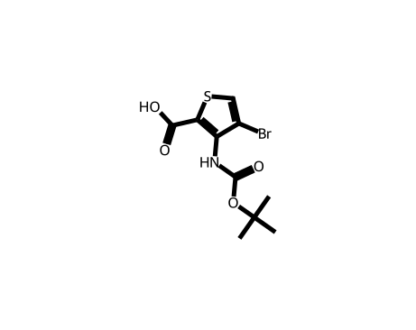 CC(C)(C)OC(=O)Nc1c(Br)csc1C(=O)O